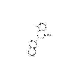 CNC[C@@H](Cc1ccccc1C)c1ccc2ccccc2c1